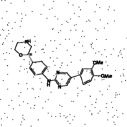 COc1ccc(-c2cnc(NC3=CCC([C@H]4CNCCO4)C=C3)nc2)cc1OC